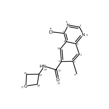 Cc1cc2ncnc(Cl)c2cc1C(=O)NC1COC1